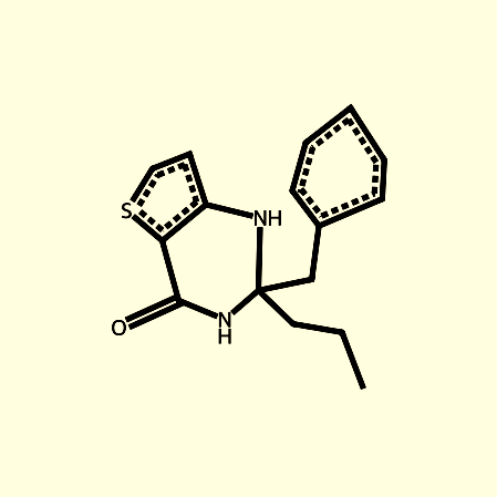 CCCC1(Cc2ccccc2)NC(=O)c2sccc2N1